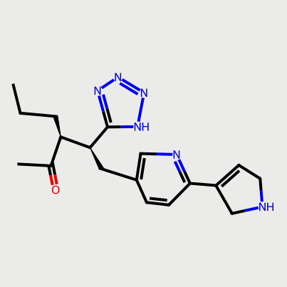 CCC[C@H](C(C)=O)[C@H](Cc1ccc(C2=CCNC2)nc1)c1nnn[nH]1